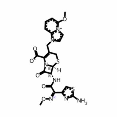 CO/N=C(\C(=O)N[C@@H]1C(=O)N2C(C(=O)[O-])=C(Cn3cc[n+]4c(OC)cccc34)CS[C@@H]12)c1csc(N)n1